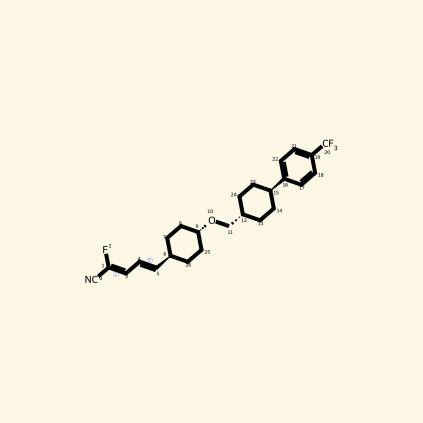 N#C/C(F)=C/C=C/[C@H]1CC[C@H](OC[C@H]2CC[C@H](c3ccc(C(F)(F)F)cc3)CC2)CC1